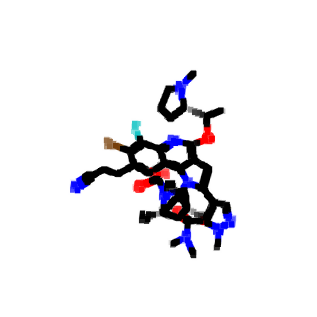 CC(Oc1nc2c(F)c(Br)c(CCC#N)cc2c2c1cc(-c1cnn(C)c1C(=O)N(C)C)n2[C@H]1[C@@H]2C[C@H]1N(C(=O)O)C2)[C@@H]1CCCN1C